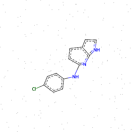 Clc1ccc(Nc2ccc3cc[nH]c3n2)cc1